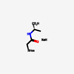 CCCCCCCC(=O)N[C@@H](C)C(=O)O.[NaH]